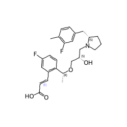 Cc1ccc(C[C@@H]2CCCN2C[C@H](O)CO[C@H](C)c2ccc(F)cc2/C=C/C(=O)O)cc1F